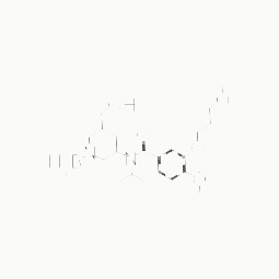 BN1CC(CO)CC(N(C(=O)c2ccc(OC)c(OCCCOC)c2)C(C)C)C1